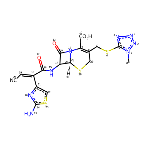 Cn1nnnc1SCC1=C(C(=O)O)N2C(=O)C(NC(=O)C(=CC#N)c3csc(N)n3)[C@@H]2SC1